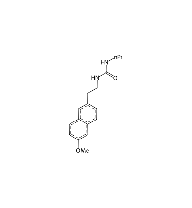 CCCNC(=O)NCCc1ccc2cc(OC)ccc2c1